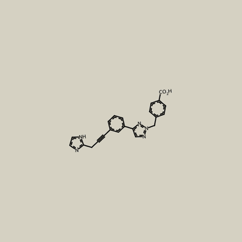 O=C(O)c1ccc(Cn2ncc(-c3cccc(C#CCc4ncc[nH]4)c3)n2)cc1